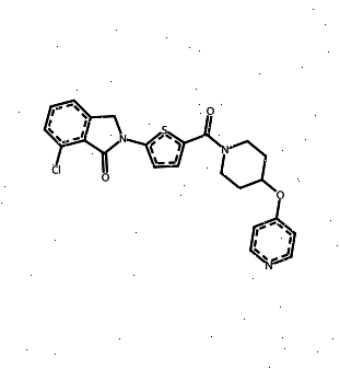 O=C(c1ccc(N2Cc3cccc(Cl)c3C2=O)s1)N1CCC(Oc2ccncc2)CC1